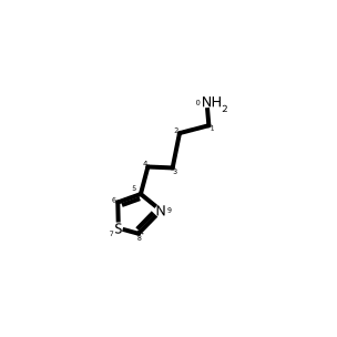 NCCCCc1cs[c]n1